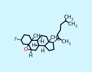 CC(C)CCCC(C)[C@H]1CC[C@H]2[C@@H]3C[C@@H]4OC45C[C@@H](F)CC[C@]5(C)[C@H]3CC[C@]12C